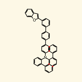 c1ccc(-c2ccccc2N(c2ccc(-c3ccc(-c4cccc(-c5cc6ccccc6o5)c4)cc3)cc2)c2ccccc2-c2ccccc2)cc1